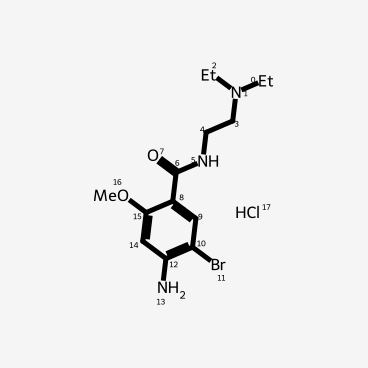 CCN(CC)CCNC(=O)c1cc(Br)c(N)cc1OC.Cl